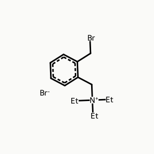 CC[N+](CC)(CC)Cc1ccccc1CBr.[Br-]